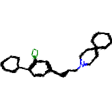 Clc1cc(C=CCN2CCC3(CCCCC3)CC2)ccc1C1CCCCC1